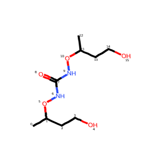 CC(CCO)ONC(=O)NOC(C)CCO